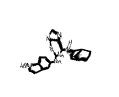 c1nc2nc(Nc3ccc4[nH]ccc4c3)[nH]c(NC3CC4CCC3C4)c-2n1